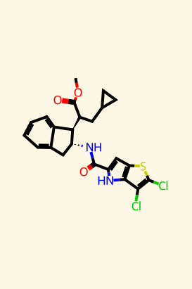 COC(=O)C(CC1CC1)[C@@H]1c2ccccc2C[C@H]1NC(=O)c1cc2sc(Cl)c(Cl)c2[nH]1